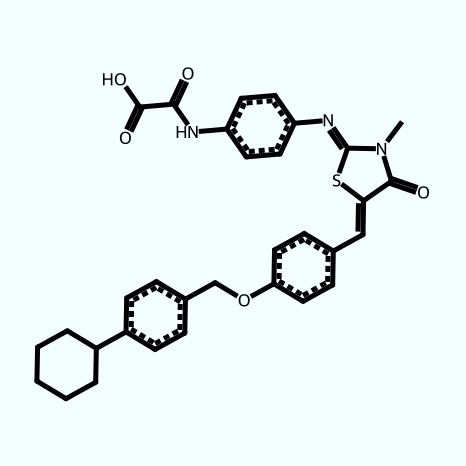 CN1C(=O)/C(=C/c2ccc(OCc3ccc(C4CCCCC4)cc3)cc2)S/C1=N\c1ccc(NC(=O)C(=O)O)cc1